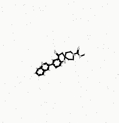 COC(=O)N1CCC2(CC1)CC(=O)c1cc(-c3cnc4ccccc4c3)ccc1O2